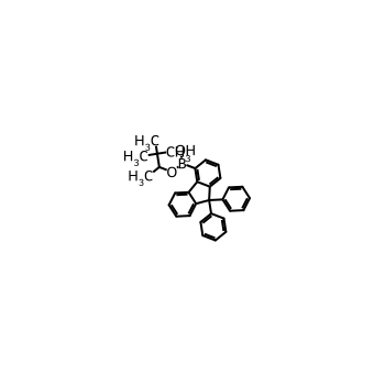 CC(OB(O)c1cccc2c1-c1ccccc1C2(c1ccccc1)c1ccccc1)C(C)(C)C